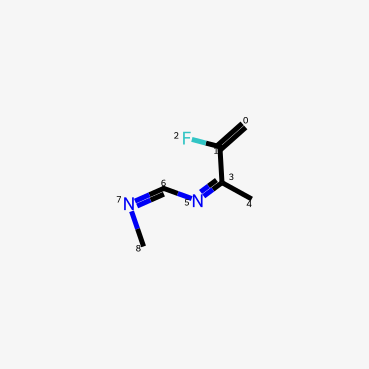 C=C(F)/C(C)=N\C=N/C